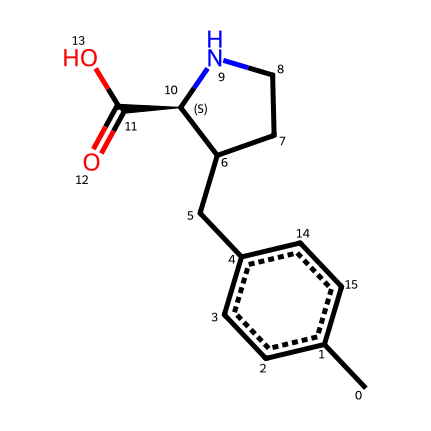 Cc1ccc(CC2CCN[C@@H]2C(=O)O)cc1